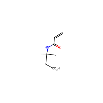 C=CC(=O)NC(C)(C)CC(=O)O